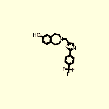 Oc1ccc2c(c1)CCN(Cc1cnc(-c3ccc(C(F)(F)F)cc3)s1)CC2